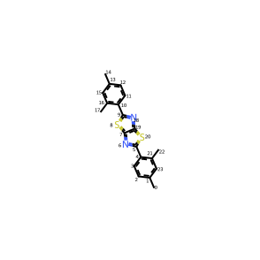 Cc1ccc(-c2nc3sc(-c4ccc(C)cc4C)nc3s2)c(C)c1